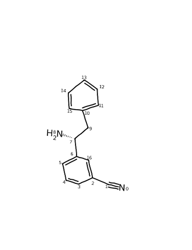 N#Cc1cccc([C@H](N)Cc2ccccc2)c1